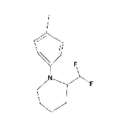 Cc1ccc(N2CCCCC2C(F)F)cc1